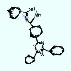 N=C(/N=C(\N)c1ccccc1)c1ccc(-c2nc(-c3ccccc3)nc(-c3ccccc3)n2)cc1